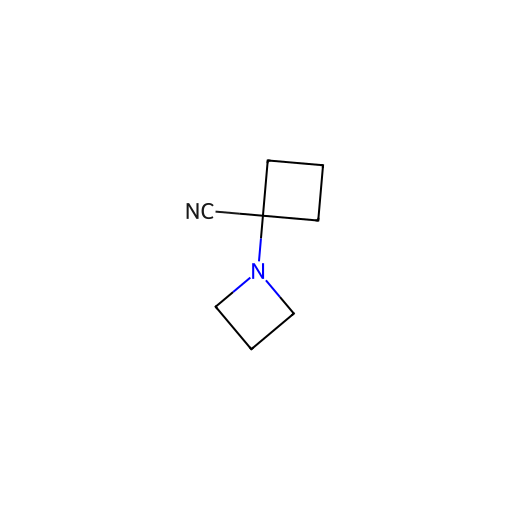 N#CC1(N2CCC2)CCC1